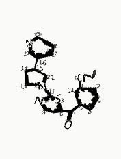 N#Cc1cccc(C(=O)c2cnc(N3CC[C@@H](c4cccnc4)C3)s2)c1